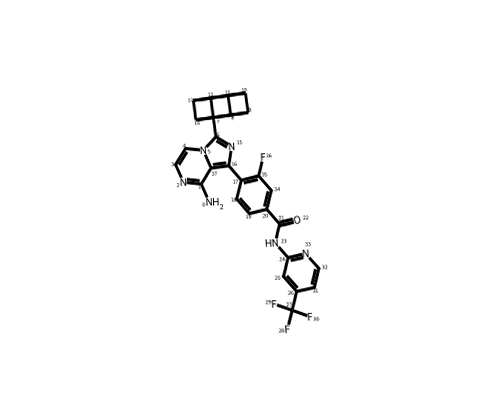 Nc1nccn2c(C34C5C6C7C5C3C7C64)nc(-c3ccc(C(=O)Nc4cc(C(F)(F)F)ccn4)cc3F)c12